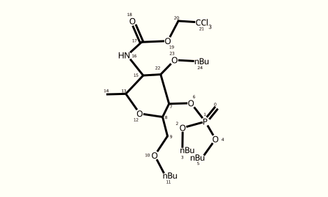 C=P(OCCCC)(OCCCC)OC1C(COCCCC)OC(C)C(NC(=O)OCC(Cl)(Cl)Cl)C1OCCCC